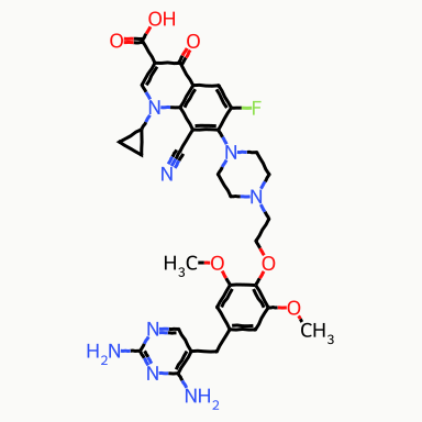 COc1cc(Cc2cnc(N)nc2N)cc(OC)c1OCCN1CCN(c2c(F)cc3c(=O)c(C(=O)O)cn(C4CC4)c3c2C#N)CC1